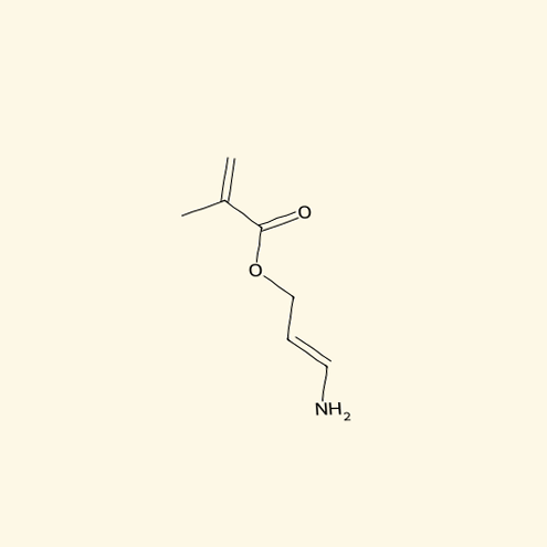 C=C(C)C(=O)OCC=CN